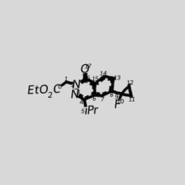 CCOC(=O)Cn1nc(C(C)C)c2cc(C3(F)CC3)ccc2c1=O